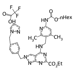 CCCCCCOC(=O)Nc1cc(C)c(CNc2nc(C(=O)OCC)nc3nn(Cc4ccc(Cn5cccn5)cc4)cc23)c(C)n1.O=C(O)C(F)(F)F